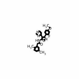 COc1ccc(-c2noc(NC(=O)Cc3cc(C)ccc3C)c2-c2ccncn2)c(F)c1